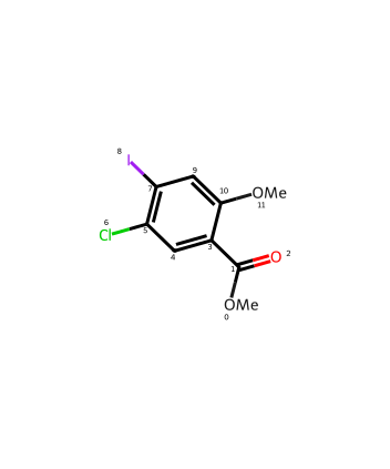 COC(=O)c1cc(Cl)c(I)cc1OC